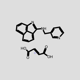 O=C(O)/C=C/C(=O)O.c1cncc(CNC2=Nc3cccc4cccc2c34)c1